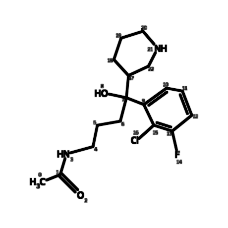 CC(=O)NCCCC(O)(c1cccc(F)c1Cl)C1CCCNC1